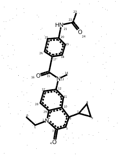 CCn1c(=O)cc(C2CC2)c2cc(N(C)C(=O)c3ccc(NC(C)=O)cc3)ccc21